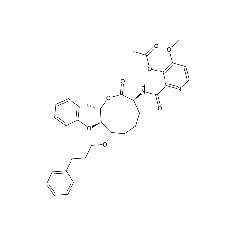 COc1ccnc(C(=O)N[C@H]2CCC[C@H](OCCCc3ccccc3)[C@@H](Oc3ccccc3)[C@H](C)OC2=O)c1OC(C)=O